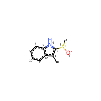 Cc1c([S+](C)[O-])[nH]c2ccccc12